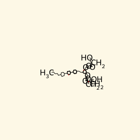 C=C(CO)C(=C)C(=O)OCOc1cc(CCc2ccc(-c3ccc(C4CCC(CCCCC)CC4)cc3)cc2)cc(OCOC(=O)C(=C)CCO)c1